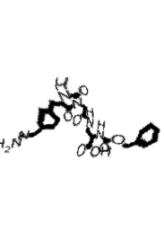 NN=Cc1ccc(CC2NC(=O)N(CC(=O)NCC(NC(=O)OCc3ccccc3)C(=O)O)C2=O)cc1